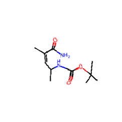 CC(=CC(C)NC(=O)OC(C)(C)C)C(N)=O